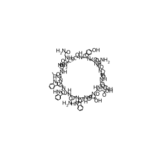 CCCC[C@H]1C(=O)N[C@@H](CN)C(=O)N[C@H](C(=O)NCC(N)=O)CSCC(=O)N[C@@H](Cc2ccc(O)cc2)C(=O)N(C)[C@@H](C)C(=O)N[C@@H](CC(N)=O)C(=O)N2CCC[C@H]2C(=O)N[C@@H](Cc2c[nH]cn2)C(=O)N[C@@H](CCC(=O)O)C(=O)N2C[C@H](O)C[C@H]2C(=O)N[C@@H](Cc2c[nH]c3ccccc23)C(=O)N[C@@H](CCN)C(=O)N[C@@H](Cc2c[nH]c3ccccc23)C(=O)N(C)[C@@H](Cc2c[nH]c3ccccc23)C(=O)N1C